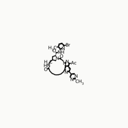 CC(=O)c1nn2c3c(nc(-c4cnc(C)nc4)cc13)CCCCCCC(=O)NC[C@]1(C)C[C@@H](C(=O)Nc3nc(Br)ccc3C)N(C1)C(=O)C2